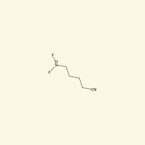 N#CCCCC[SiH](F)F